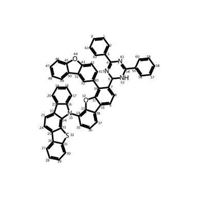 c1ccc(C2=NC(c3ccc4c(oc5c(-n6c7ccccc7c7ccc8c9ccccc9sc8c76)cccc54)c3-c3ccc4oc5ccccc5c4c3)NC(c3ccccc3)=N2)cc1